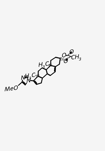 COc1cn(C2=CCC3C4CC=C5C[C@@H](OS(C)(=O)=O)CC[C@]5(C)C4CC[C@]23C)cn1